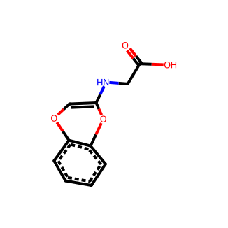 O=C(O)CNC1=COc2ccccc2O1